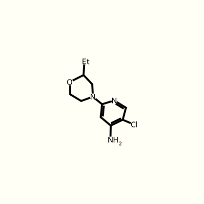 CCC1CN(c2cc(N)c(Cl)cn2)CCO1